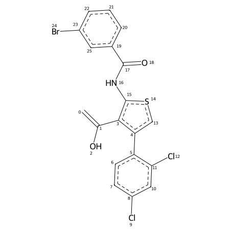 C=C(O)c1c(-c2ccc(Cl)cc2Cl)csc1NC(=O)c1cccc(Br)c1